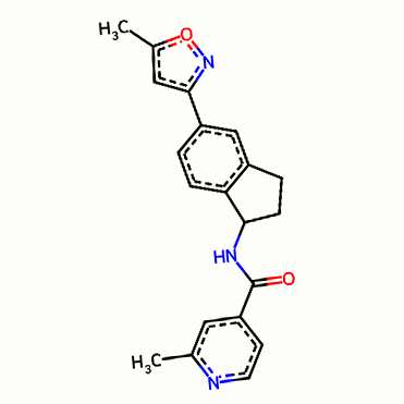 Cc1cc(C(=O)NC2CCc3cc(-c4cc(C)on4)ccc32)ccn1